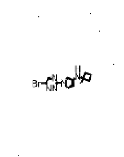 CC1(NC2CCN(c3ncc(Br)nn3)C2)CCC1